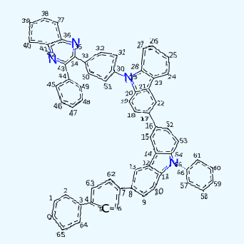 c1ccc(-c2ccc(-c3ccc4c(c3)c3cc(-c5ccc6c(c5)c5ccccc5n6-c5ccc(-c6nc7ccccc7nc6-c6ccccc6)cc5)ccc3n4-c3ccccc3)cc2)cc1